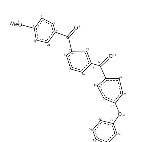 COc1ccc(C(=O)c2cccc(C(=O)c3ccc(Oc4ccccc4)cc3)c2)cc1